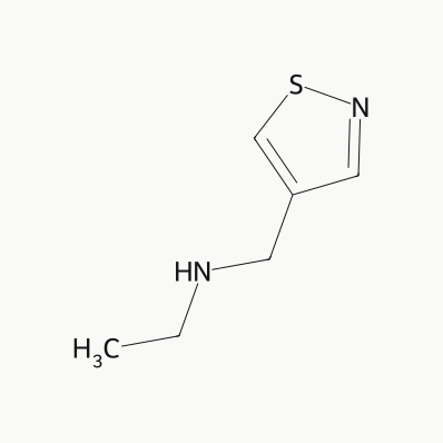 CCNCc1cnsc1